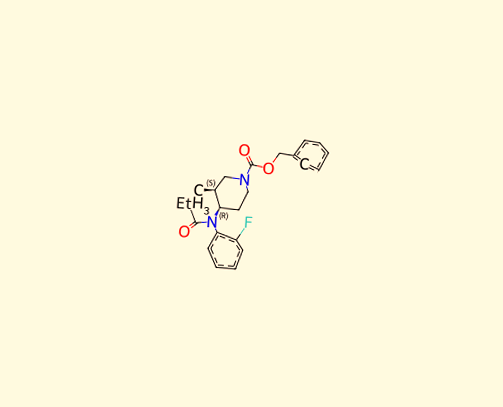 CCC(=O)N(c1ccccc1F)[C@@H]1CCN(C(=O)OCc2ccccc2)C[C@@H]1C